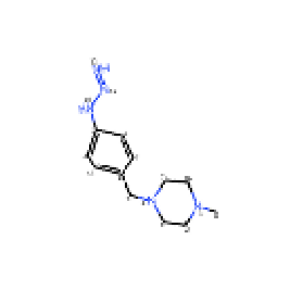 CN1CCN(Cc2ccc(NN=N)cc2)CC1